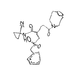 N#CC1(NC(=O)C(CC(=O)N2CCOCC2)CS(=O)(=O)Cc2ccccc2)CC1